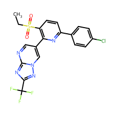 CCS(=O)(=O)c1ccc(-c2ccc(Cl)cc2)nc1-c1cnc2nc(C(F)(F)F)nn2c1